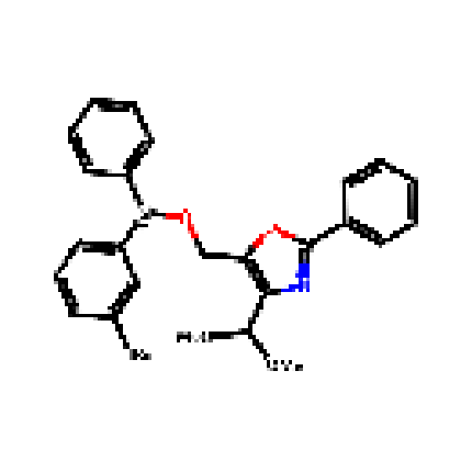 COC(OC)c1nc(-c2ccccc2)oc1CO[SiH](c1ccccc1)c1cccc(C(C)(C)C)c1